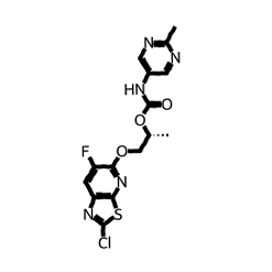 Cc1ncc(NC(=O)O[C@H](C)COc2nc3sc(Cl)nc3cc2F)cn1